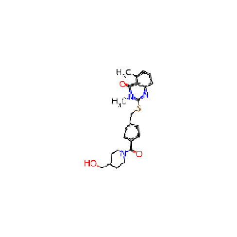 Cc1cccc2nc(SCc3ccc(C(=O)N4CCC(CO)CC4)cc3)n(C)c(=O)c12